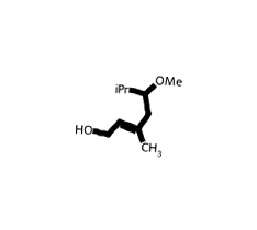 COC(CC(C)=CCO)C(C)C